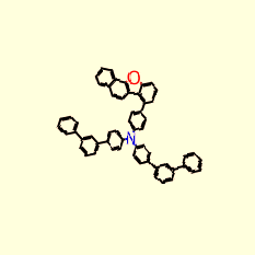 c1ccc(-c2cccc(-c3ccc(N(c4ccc(-c5cccc(-c6ccccc6)c5)cc4)c4ccc(-c5cccc6oc7c8ccccc8ccc7c56)cc4)cc3)c2)cc1